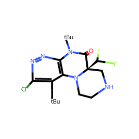 CC(C)(C)c1c(Cl)nnc2c1N1CCNC[C@@]1(C(F)F)C(=O)N2C(C)(C)C